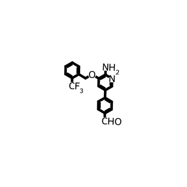 Nc1ncc(-c2ccc(C=O)cc2)cc1OCc1ccccc1C(F)(F)F